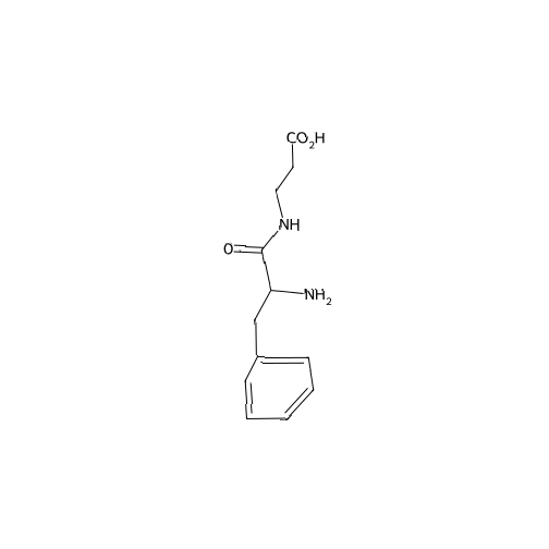 NC(Cc1ccccc1)C(=O)NCCC(=O)O